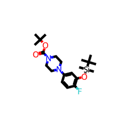 CC(C)(C)OC(=O)N1CCN(c2ccc(F)c(O[Si](C)(C)C(C)(C)C)c2)CC1